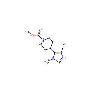 Cn1cnc(C(F)(F)F)c1C1CCN(C(=O)OC(C)(C)C)CC1